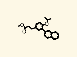 COC(=O)CCc1ccc(OC(C)C)c(-c2ccc3ccccc3c2)c1